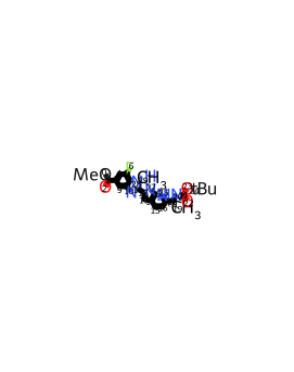 COC(=O)c1cc(F)c2c(c1)nc(-c1cc3ccc([C@@H](C)NC(=O)OC(C)(C)C)nc3[nH]1)n2C